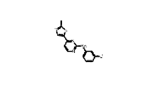 Cc1ncc(-c2ccnc(Nc3cccc(Cl)c3)n2)s1